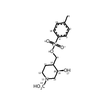 Cc1ccc(S(=O)(=O)OCC2CCN(C(=O)O)C[C@@H]2O)cc1